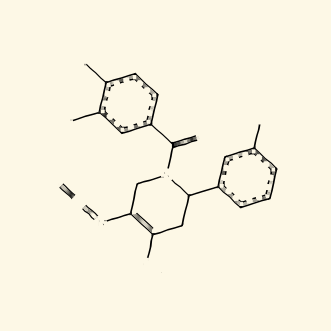 CCOC(=O)C1=C(N=C=S)CN(C(=O)c2ccc(Cl)c(Cl)c2)C(c2cccc(F)c2)C1